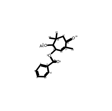 CC(=O)OC1C(OC(=O)c2ccccc2)C=C(C)C(=O)CC1(C)C